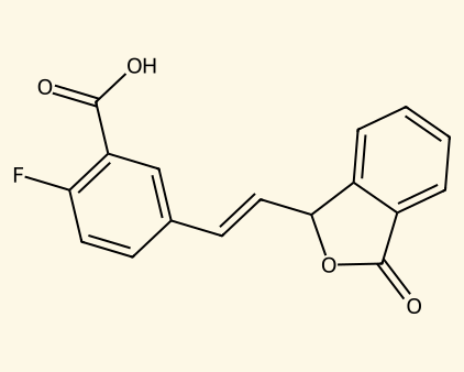 O=C(O)c1cc(C=CC2OC(=O)c3ccccc32)ccc1F